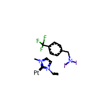 C=Cn1ccn(C)[c]1=[Pt].FC(F)(F)c1ccc(CN(I)I)cc1